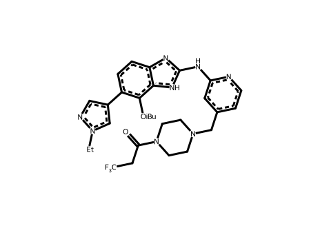 CCn1cc(-c2ccc3nc(Nc4cc(CN5CCN(C(=O)CC(F)(F)F)CC5)ccn4)[nH]c3c2OCC(C)C)cn1